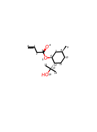 C=CCC(=O)O[C@H]1C[C@@H](C)CC[C@@H]1C(C)(C)O